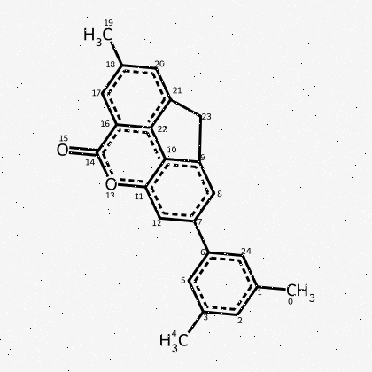 Cc1cc(C)cc(-c2cc3c4c(c2)oc(=O)c2cc(C)cc(c24)C3)c1